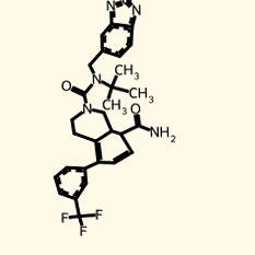 CC(C)(C)N(Cc1ccc2nonc2c1)C(=O)N1CCC2=C(c3cccc(C(F)(F)F)c3)C=CC(C(N)=O)C2C1